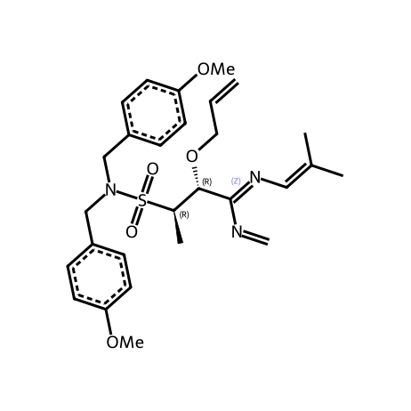 C=CCO[C@H](/C(N=C)=N/C=C(C)C)[C@@H](C)S(=O)(=O)N(Cc1ccc(OC)cc1)Cc1ccc(OC)cc1